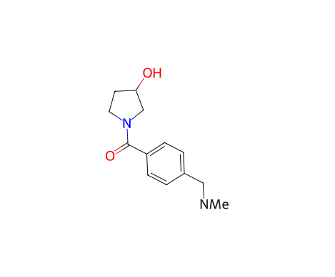 CNCc1ccc(C(=O)N2CCC(O)C2)cc1